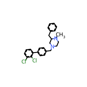 CN1CCN(Cc2ccc(-c3cccc(Cl)c3Cl)cc2)CC1Cc1ccccc1